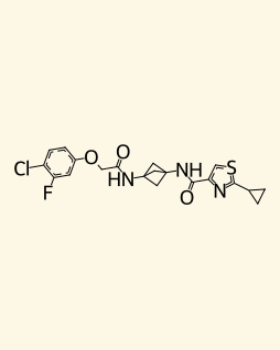 O=C(COc1ccc(Cl)c(F)c1)NC12CC(NC(=O)c3csc(C4CC4)n3)(C1)C2